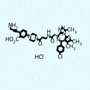 Cc1sc2c(c1C)C(c1ccc(Cl)cc1)=N[C@@H](CC(=O)NCCC(=O)N1CCN(c3ccc(C#CCN)c(C(=O)O)c3)CC1)c1nnc(C)n1-2.Cl